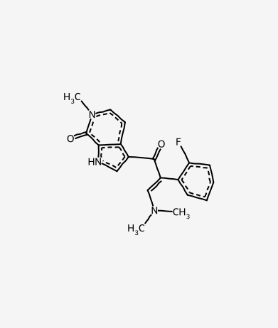 CN(C)C=C(C(=O)c1c[nH]c2c(=O)n(C)ccc12)c1ccccc1F